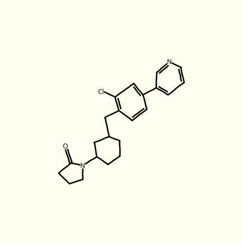 O=C1CCCN1C1CCCC(Cc2ccc(-c3cccnc3)cc2Cl)C1